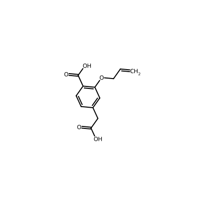 C=CCOc1cc(CC(=O)O)ccc1C(=O)O